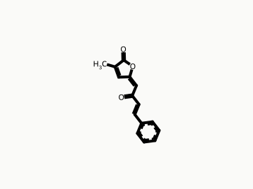 CC1=C/C(=C\C(=O)C=Cc2ccccc2)OC1=O